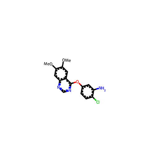 COc1cc2ncnc(Oc3ccc(Cl)c(N)c3)c2cc1OC